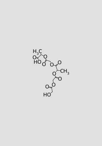 CC(OC(=O)COC(=O)C(C)OC(=O)COC(=O)CO)C(=O)O